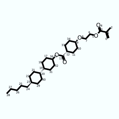 C=C(C)C(=O)OCCO[C@H]1CC[C@H](C(=O)OC2CCC([C@H]3CC[C@H](CCCCC)CC3)CC2)CC1